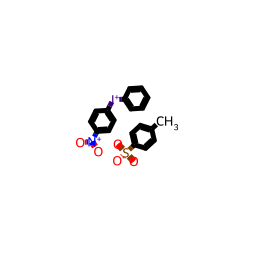 Cc1ccc(S(=O)(=O)[O-])cc1.O=[N+]([O-])c1ccc([I+]c2ccccc2)cc1